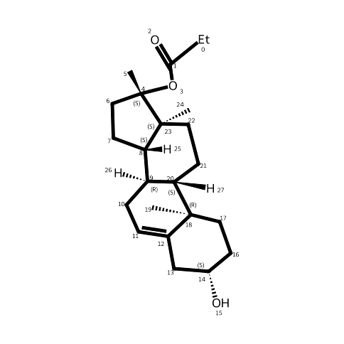 CCC(=O)O[C@@]1(C)CC[C@H]2[C@@H]3CC=C4C[C@@H](O)CC[C@]4(C)[C@H]3CC[C@@]21C